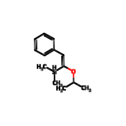 CC(C)OC(=Cc1ccccc1)[SiH](C)C